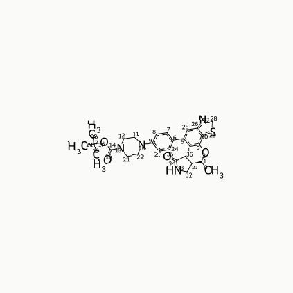 CC(Oc1cc(-c2ccc(N3CCN(C(=O)OC(C)(C)C)CC3)cc2)cc2ncsc12)[C@H]1CNC(=O)C1